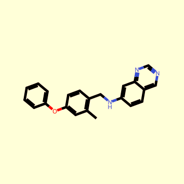 Cc1cc(Oc2ccccc2)ccc1CNc1ccc2cncnc2c1